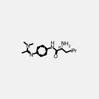 CC(=Nc1ccc(NC(=O)[C@H](N)CC(C)C)cc1)N(C)C